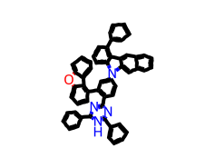 c1ccc(C2=NC(c3ccc(-n4c5cc6ccccc6cc5c5c(-c6ccccc6)cccc54)cc3-c3cccc4oc5ccccc5c34)=NC(c3ccccc3)N2)cc1